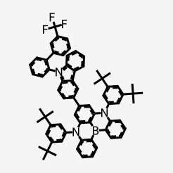 CC(C)(C)c1cc(N2c3ccccc3B3c4ccccc4N(c4cc(C(C)(C)C)cc(C(C)(C)C)c4)c4cc(-c5ccc6c(c5)c5ccccc5n6-c5ccccc5-c5cccc(C(F)(F)F)c5)cc2c43)cc(C(C)(C)C)c1